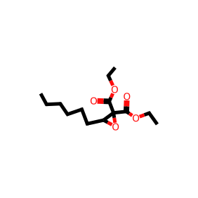 CCCCCCC1OC1(C(=O)OCC)C(=O)OCC